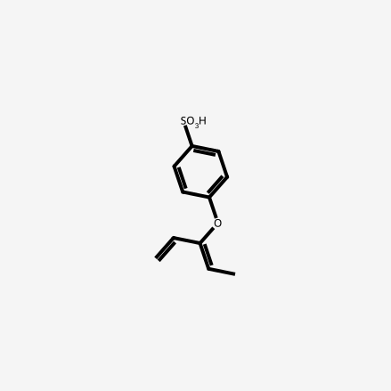 C=C/C(=C/C)Oc1ccc(S(=O)(=O)O)cc1